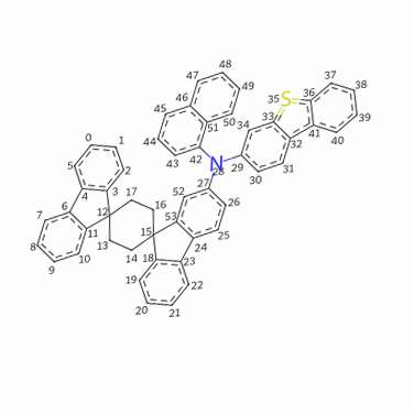 c1ccc2c(c1)-c1ccccc1C21CCC2(CC1)c1ccccc1-c1ccc(N(c3ccc4c(c3)sc3ccccc34)c3cccc4ccccc34)cc12